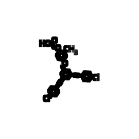 Cc1cc(OCc2cc(C#Cc3ccc(Cl)cc3)cc(C#Cc3ccc(Cl)cc3)c2)ccc1OCC(=O)O